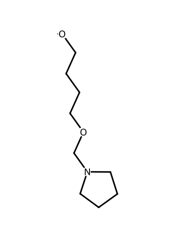 [O]CCCCOCN1CCCC1